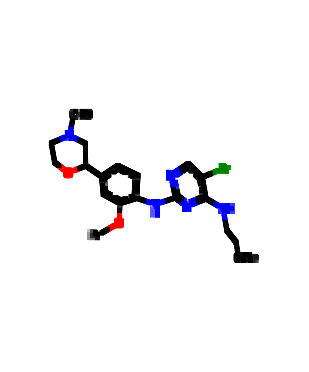 COCCNc1nc(Nc2ccc(C3CN(C=O)CCO3)cc2OC(C)C)ncc1Br